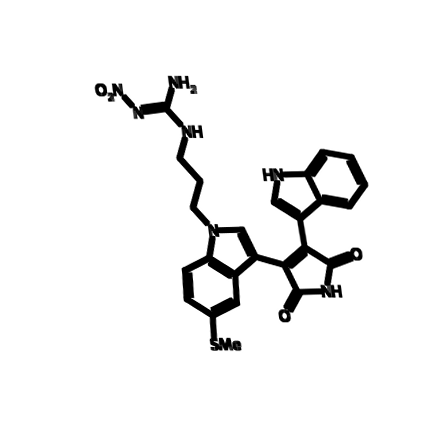 CSc1ccc2c(c1)c(C1=C(c3c[nH]c4ccccc34)C(=O)NC1=O)cn2CCCNC(N)=N[N+](=O)[O-]